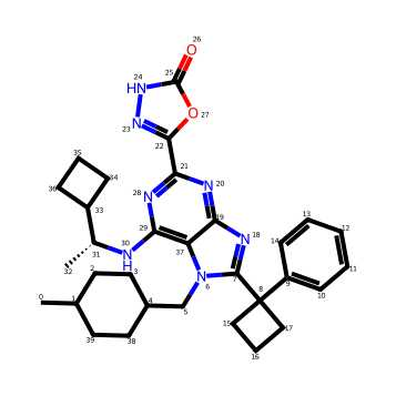 CC1CCC(Cn2c(C3(c4ccccc4)CCC3)nc3nc(-c4n[nH]c(=O)o4)nc(N[C@H](C)C4CCC4)c32)CC1